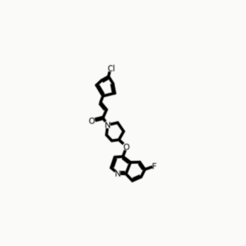 O=C(/C=C/c1ccc(Cl)cc1)N1CCC(Oc2ccnc3ccc(F)cc23)CC1